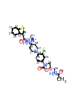 [C-]#[N+]C1(NNC(=O)c2csc3ccccc23)CCN(c2ccc(N3C[C@H](CNC(C)=O)OC3=O)cc2F)CC1